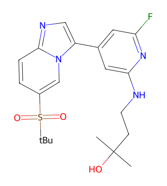 CC(C)(O)CCNc1cc(-c2cnc3ccc(S(=O)(=O)C(C)(C)C)cn23)cc(F)n1